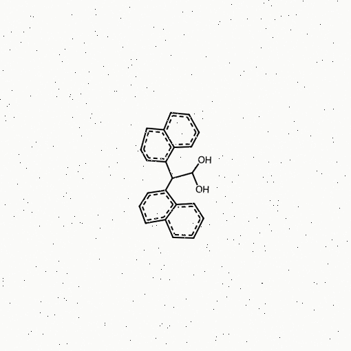 OC(O)C(c1cccc2ccccc12)c1cccc2ccccc12